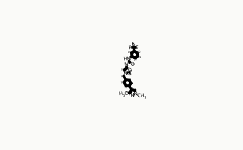 Cc1nn(C)cc1-c1ccc(C[n+]2cc([N-]C(=O)Nc3cccc(C(F)(F)F)c3)on2)cc1